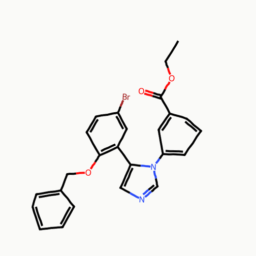 CCOC(=O)c1cccc(-n2cncc2-c2cc(Br)ccc2OCc2ccccc2)c1